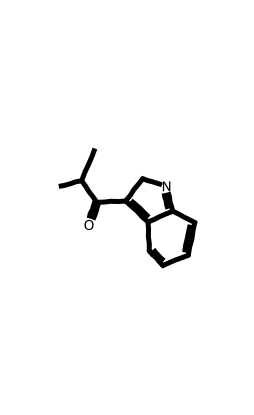 CC(C)C(=O)C1=c2ccccc2=NC1